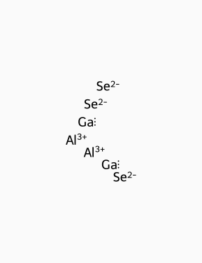 [Al+3].[Al+3].[Ga].[Ga].[Se-2].[Se-2].[Se-2]